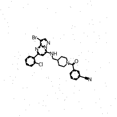 N#Cc1cccc(C(=O)N2CCC(CNc3cc(-c4ccccc4Cl)nc4c(Br)cnn34)CC2)c1